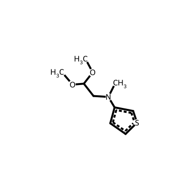 COC(CN(C)c1ccsc1)OC